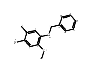 COc1cc(Br)c(C)cc1OCc1ccccc1